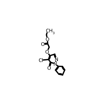 CCOC(=O)COc1cnn(-c2ccccc2)c(=O)c1Cl